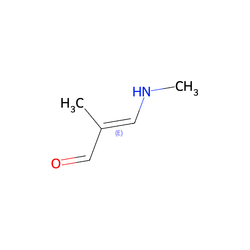 CN/C=C(\C)C=O